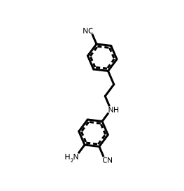 N#Cc1ccc(CCNc2ccc(N)c(C#N)c2)cc1